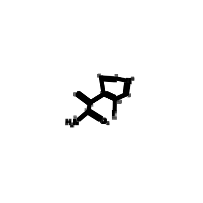 C=C(C(N)=O)c1ccncc1F